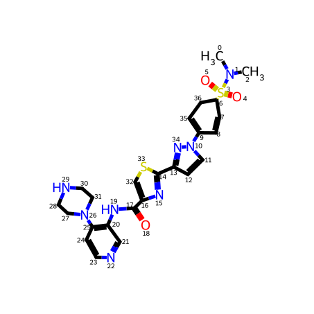 CN(C)S(=O)(=O)C1C=CC(n2ccc(-c3nc(C(=O)Nc4cnccc4N4CCNCC4)cs3)n2)=CC1